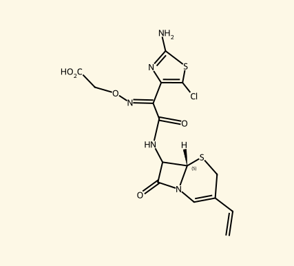 C=CC1=CN2C(=O)C(NC(=O)C(=NOCC(=O)O)c3nc(N)sc3Cl)[C@@H]2SC1